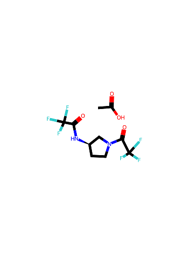 CC(=O)O.O=C(N[C@@H]1CCN(C(=O)C(F)(F)F)C1)C(F)(F)F